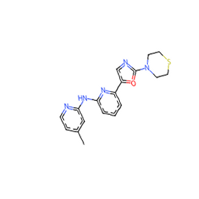 Cc1ccnc(Nc2cccc(-c3cnc(N4CCSCC4)o3)n2)c1